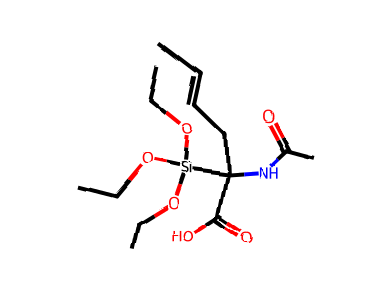 CC=CCC(NC(C)=O)(C(=O)O)[Si](OCC)(OCC)OCC